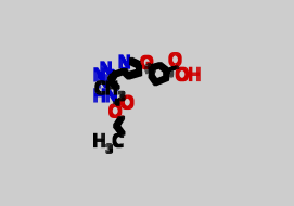 CCCCOC(=O)NCc1c(-c2ccc(O[C@H]3CCC[C@H](C(=O)O)C3)cn2)nnn1C